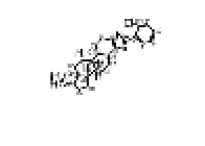 C[C@]12CCc3nc(-c4ccccc4Cl)sc3C1=CC[C@@H]1[C@@H]2CC[C@]2(C)C(O)CC[C@@H]12